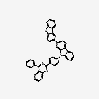 c1ccc(-c2nc(-c3ccc(-n4c5ccccc5c5ccc(-c6ccc7sc8ccccc8c7c6)cc54)cc3)nc3ccccc23)cc1